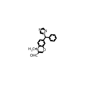 CN1C(C=O)=COc2cc(C(c3ccccc3)n3cncn3)ccc21